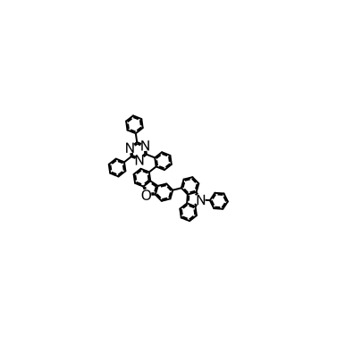 c1ccc(-c2nc(-c3ccccc3)nc(-c3ccccc3-c3cccc4oc5ccc(-c6cccc7c6c6ccccc6n7-c6ccccc6)cc5c34)n2)cc1